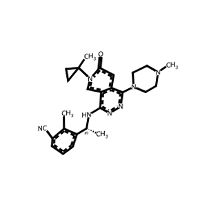 Cc1c(C#N)cccc1[C@@H](C)Nc1nnc(N2CCN(C)CC2)c2cc(=O)n(C3(C)CC3)cc12